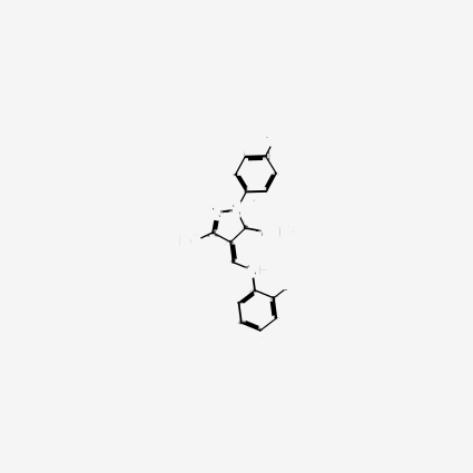 CCc1ccccc1NC=C1C(C)=NN(c2ccc(Cl)cc2)C1C=O